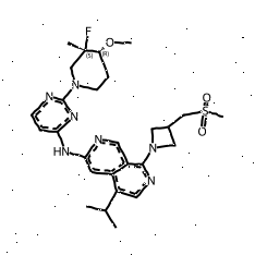 CO[C@@H]1CCN(c2nccc(Nc3cc4c(C(C)C)cnc(N5CC(CS(C)(=O)=O)C5)c4cn3)n2)C[C@]1(C)F